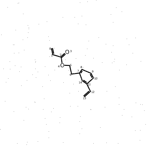 C=CC(=O)OCCc1cccc(C=C)c1